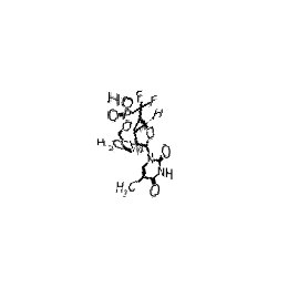 C=C[C@@H]1C2C(C(F)(F)P(=O)(O)OCC)[C@H]2OC1n1cc(C)c(=O)[nH]c1=O